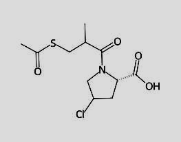 CC(=O)SCC(C)C(=O)N1CC(Cl)C[C@H]1C(=O)O